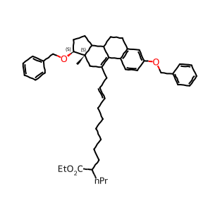 CCCC(CCCCCCC=CCC1=C2c3ccc(OCc4ccccc4)cc3CCC2C2CC[C@H](OCc3ccccc3)[C@@]2(C)C1)C(=O)OCC